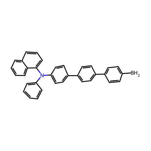 Bc1ccc(-c2ccc(-c3ccc(N(c4ccccc4)c4cccc5ccccc45)cc3)cc2)cc1